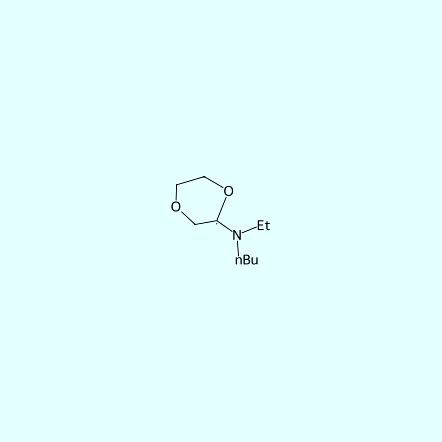 CCCCN(CC)[C]1COCCO1